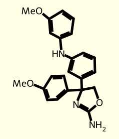 COc1ccc(C2(c3cccc(Nc4cccc(OC)c4)c3)COC(N)=N2)cc1